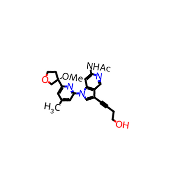 CO[C@@]1(c2cc(C)cc(-n3cc(C#CCCO)c4cnc(NC(C)=O)cc43)n2)CCOC1